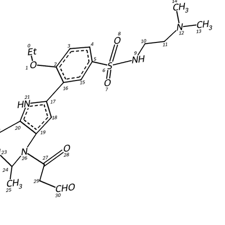 CCOc1ccc(S(=O)(=O)NCCN(C)C)cc1-c1cc2c([nH]1)CNC(C)N2C(=O)CC=O